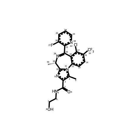 Cc1c(C(=O)NCCO)nc2n1-c1ccc(C(F)(F)F)c(Cl)c1C(c1ncccc1F)=N[C@H]2C